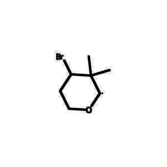 CC1(C)[CH]OCCC1Br